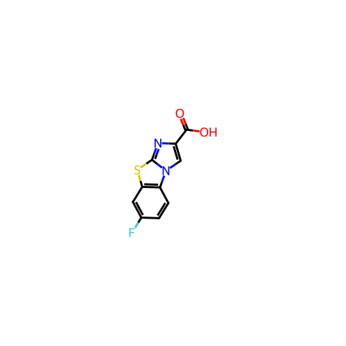 O=C(O)c1cn2c(n1)sc1cc(F)ccc12